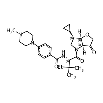 CCC(C)(C)[C@H](NC(=O)c1ccc(N2CCN(C)CC2)cc1)C(=O)N1C[C@@H](C2CC2)[C@H]2OCC(=O)[C@H]21